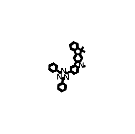 Cn1c2ccc(-c3nc(-c4ccccc4)nc(-c4ccccc4)n3)cc2c2cc3c(cc21)C(C)(C)c1ccccc1-3